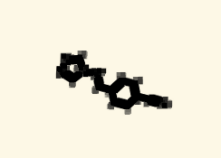 N#Cc1ccc(C=Nn2cnnc2)cc1